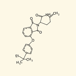 C=C1CCC(N2C(=O)c3cccc(Oc4ccc(C(C)(C)CC)cc4)c3C2=O)C(=O)N1